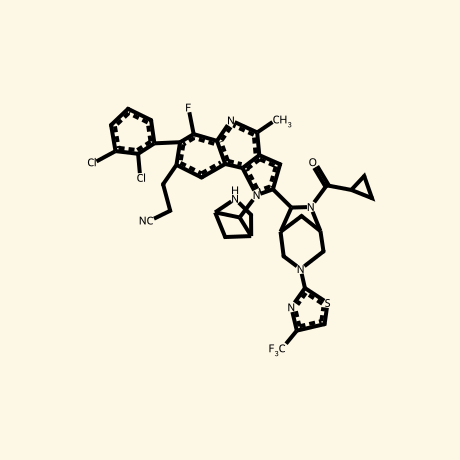 Cc1nc2c(F)c(-c3cccc(Cl)c3Cl)c(CCC#N)cc2c2c1cc(C1C3CC(CN(c4nc(C(F)(F)F)cs4)C3)N1C(=O)C1CC1)n2C1C2CNC1C2